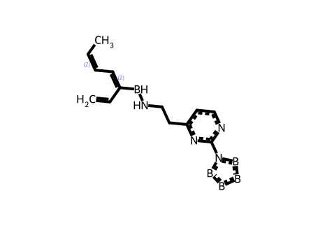 C=C/C(BNCCc1ccnc(-n2bbbb2)n1)=C\C=C/C